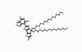 CCCCCCCCCCCCCCCCC1(CCCCCCCCCCCCCCCC)c2cc(C)sc2-c2sc(-c3c(F)cc(C)c4nsnc34)cc21